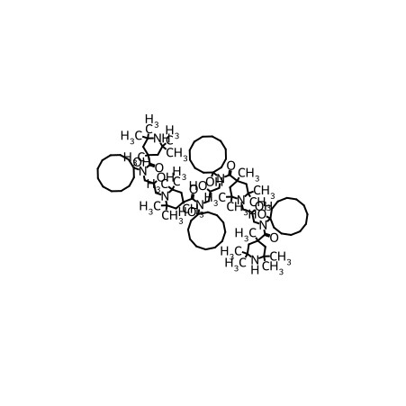 CC1(C)CC(C)(C(=O)N(CC(O)CN2C(C)(C)CC(C)(C(=O)N(CC(O)CN(C(=O)C3(C)CC(C)(C)N(CC(O)CN(C(=O)C4(C)CC(C)(C)NC(C)(C)C4)C4(O)CCCCCCCCCCC4)C(C)(C)C3)C3(O)CCCCCCCCCCC3)C3(O)CCCCCCCCCCC3)CC2(C)C)C2(O)CCCCCCCCCCC2)CC(C)(C)N1